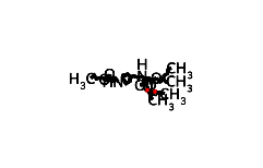 CCCCOC(=O)CCNc1ccc(CCNC(CC(=O)OCC(CC)CCCC)C(=O)OCC(CC)CCCC)cc1